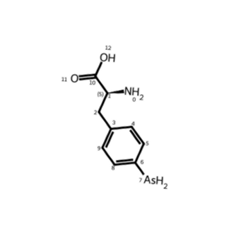 N[C@@H](Cc1ccc([AsH2])cc1)C(=O)O